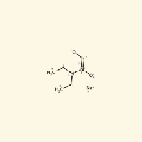 CCN(CC)/[N+]([O-])=N\[O-].[Na+]